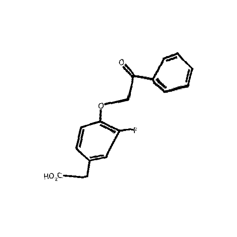 O=C(O)Cc1ccc(OCC(=O)c2ccccc2)c(F)c1